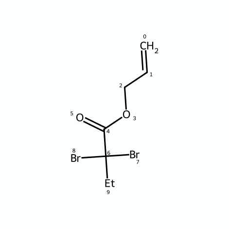 C=CCOC(=O)C(Br)(Br)CC